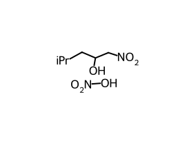 CC(C)CC(O)C[N+](=O)[O-].O=[N+]([O-])O